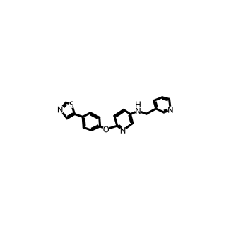 c1cncc(CNc2ccc(Oc3ccc(-c4cncs4)cc3)nc2)c1